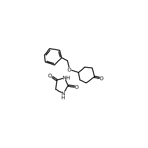 O=C1CCC(OCc2ccccc2)CC1.O=C1CNC(=O)N1